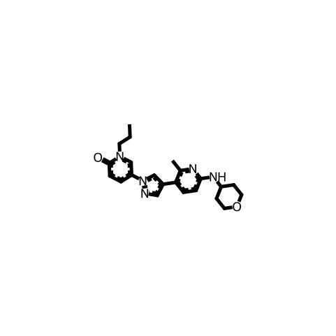 CCCn1cc(-n2cc(-c3ccc(NC4CCOCC4)nc3C)cn2)ccc1=O